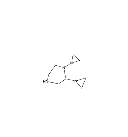 C1CN(N2CC2)C(N2CC2)CN1